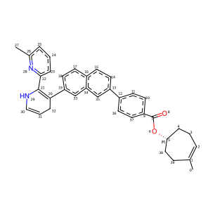 CC1=CCC[C@@H](OC(=O)c2ccc(-c3ccc4ccc(C5=C(c6cccc(C)n6)NC=CC5)cc4c3)cc2)CC1